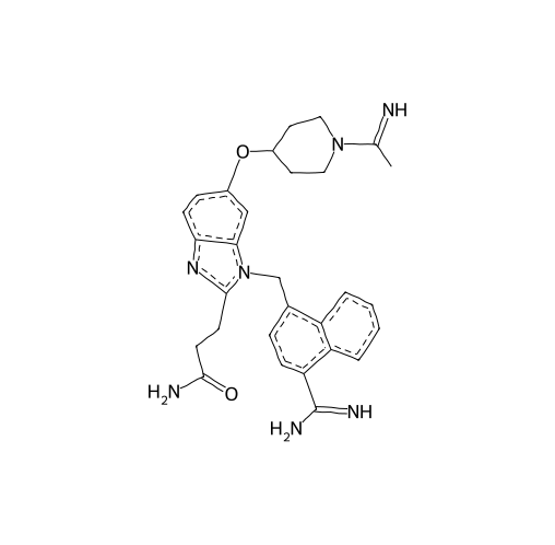 CC(=N)N1CCC(Oc2ccc3nc(CCC(N)=O)n(Cc4ccc(C(=N)N)c5ccccc45)c3c2)CC1